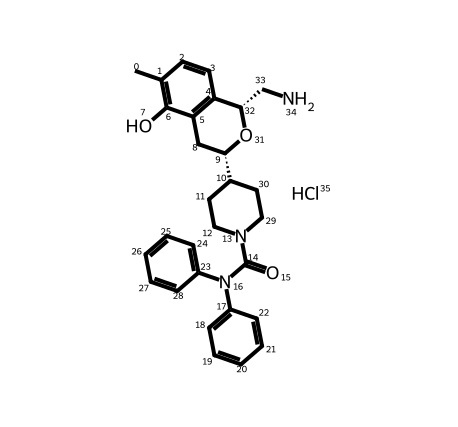 Cc1ccc2c(c1O)C[C@@H](C1CCN(C(=O)N(c3ccccc3)c3ccccc3)CC1)O[C@H]2CN.Cl